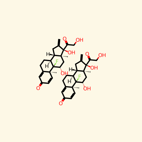 C=C1C[C@H]2[C@@H]3CCC4=CC(=O)C=C[C@]4(C)[C@@]3(F)[C@@H](O)C[C@]2(C)[C@@]1(O)C(=O)CO.C=C1C[C@H]2[C@@H]3CCC4=CC(=O)C=C[C@]4(C)[C@@]3(F)[C@@H](O)C[C@]2(C)[C@@]1(O)C(=O)CO